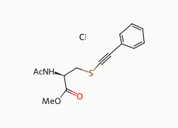 COC(=O)[C@H](CSC#Cc1ccccc1)NC(C)=O.[C]